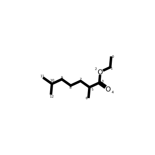 CCOC(=O)C(C)CCCC(C)C